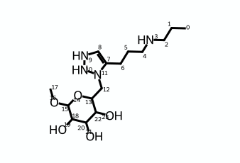 CCCNCCCC1=CNNN1CC1OC(OC)C(O)C(O)C1O